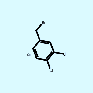 Clc1ccc(CBr)cc1Cl.[Zn]